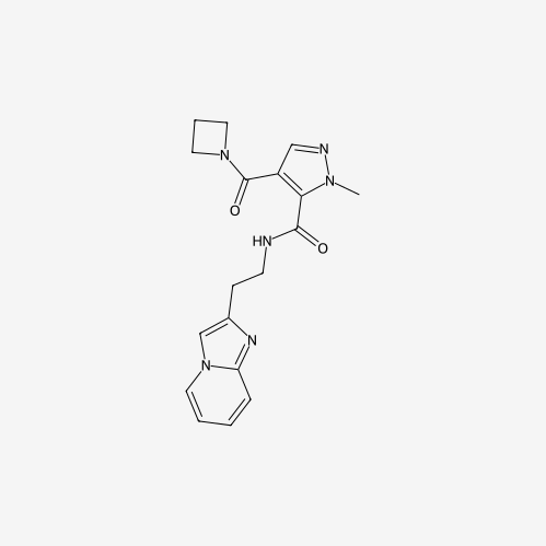 Cn1ncc(C(=O)N2CCC2)c1C(=O)NCCc1cn2ccccc2n1